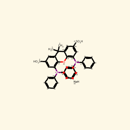 CC1(C)c2cc(S(=O)(=O)O)cc(P(c3ccccc3)c3ccccc3)c2Oc2c(P(c3ccccc3)c3ccccc3)cc(S(=O)(=O)O)cc21.[NaH]